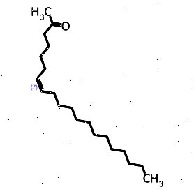 CCCCCCCCCCCC/C=C\CCCCC(C)=O